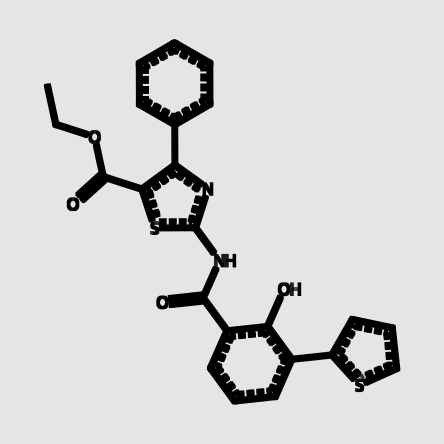 CCOC(=O)c1sc(NC(=O)c2cccc(-c3cccs3)c2O)nc1-c1ccccc1